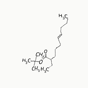 CCCC=CCCCC(CC)C(=O)OC(C)(C)C